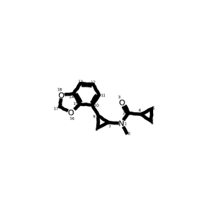 CN(C(=O)C1CC1)C1CC1c1cccc2c1OCO2